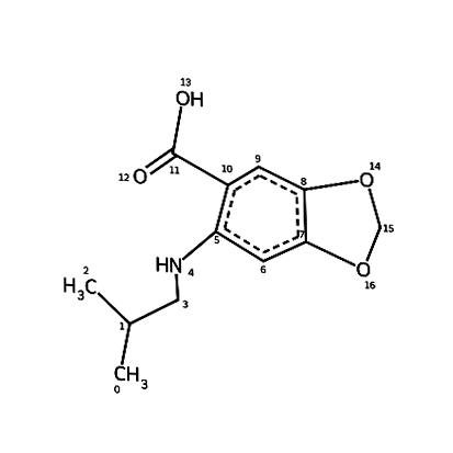 CC(C)CNc1cc2c(cc1C(=O)O)OCO2